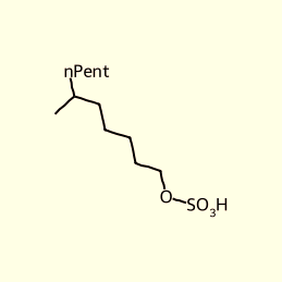 CCCCCC(C)CCCCCOS(=O)(=O)O